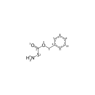 NSC(=O)OCc1ccccc1